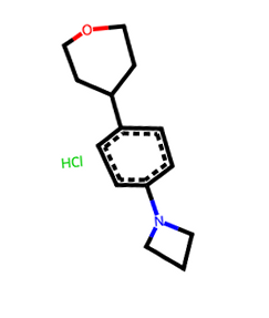 Cl.c1cc(N2CCC2)ccc1C1CCOCC1